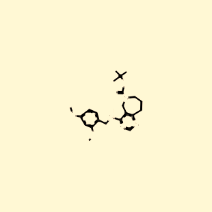 COc1ccc(CNc2ncnc3c2CN(C(=O)OC(C)(C)C)CCC3)c(OC)c1